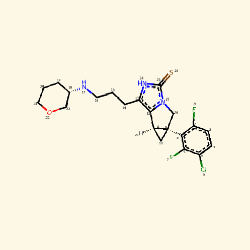 Fc1ccc(Cl)c(F)c1[C@]12C[C@H]1c1c(CCCN[C@H]3CCCOC3)[nH]c(=S)n1C2